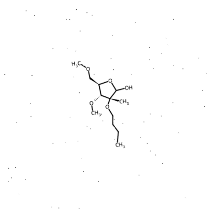 CCCCO[C@@]1(C)C(O)O[C@H](COC)[C@H]1OC